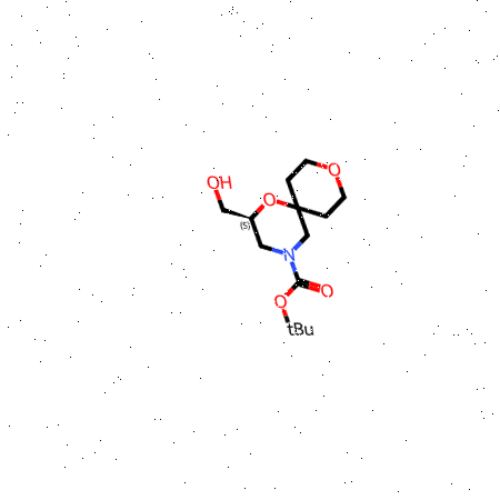 CC(C)(C)OC(=O)N1C[C@@H](CO)OC2(CCOCC2)C1